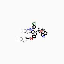 C[C@@H](COc1ccnc2c1[C@H](C)CCC2)CC1Cc2ccc(OCCCC(=O)O)cc2C12CCC(Nc1cccc(Cl)c1)(C(=O)O)CC2